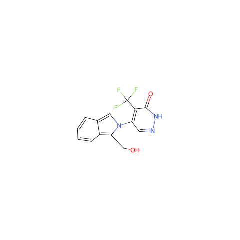 O=c1[nH]ncc(-n2cc3ccccc3c2CO)c1C(F)(F)F